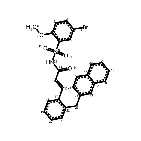 COc1ccc(Br)cc1S(=O)(=O)NC(=O)C=Cc1ccccc1Cc1ccc2ccccc2c1